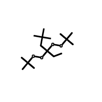 CCC(CC(C)(C)C)(OOC(C)(C)C)OOC(C)(C)C